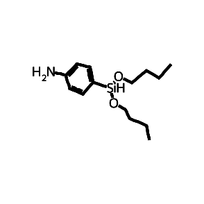 CCCCO[SiH](OCCCC)c1ccc(N)cc1